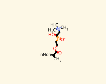 C=C(CCCCCCCCC)C(=O)OCC[P+]([O-])=C(O)C[N+](C)(C)C